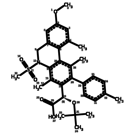 COc1cc(C)c2c(c1)CN(S(C)(=O)=O)c1c(C)c([C@H](OC(C)(C)C)C(=O)O)c(-c3ccc(C)cc3)c(C)c1-2